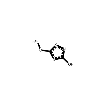 CCCOc1nc(O)ns1